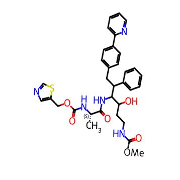 COC(=O)NCCC(O)C(NC(=O)[C@H](C)NC(=O)OCc1cncs1)C(Cc1ccc(-c2ccccn2)cc1)c1ccccc1